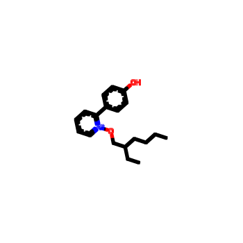 CCCCC(CC)CO[n+]1ccccc1-c1ccc(O)cc1